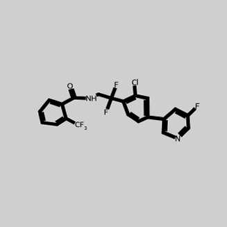 O=C(NCC(F)(F)c1ccc(-c2cncc(F)c2)cc1Cl)c1ccccc1C(F)(F)F